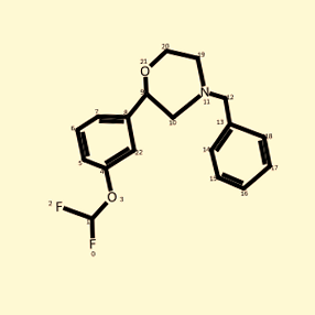 FC(F)Oc1cccc(C2CN(Cc3ccccc3)CCO2)c1